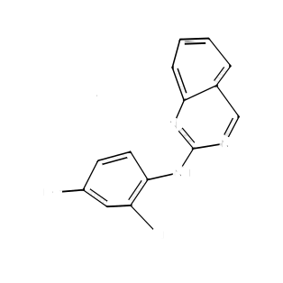 Cc1cc(O)ccc1Nc1ncc2ccccc2n1.Cl